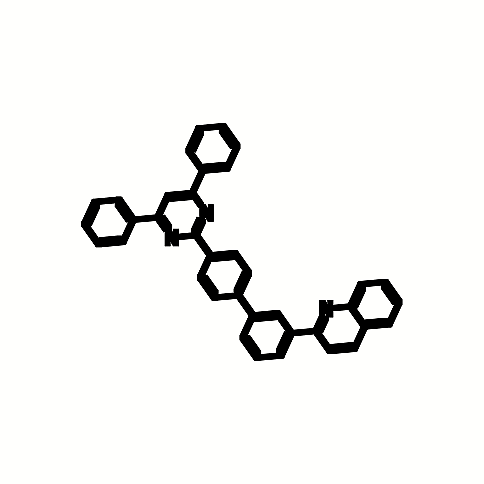 c1ccc(-c2cc(-c3ccccc3)nc(-c3ccc(-c4cccc(-c5ccc6ccccc6n5)c4)cc3)n2)cc1